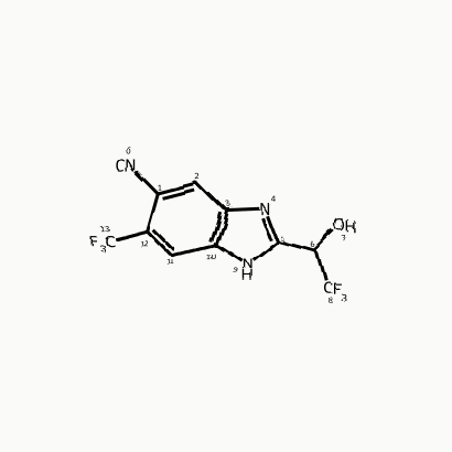 [C-]#[N+]c1cc2nc(C(O)C(F)(F)F)[nH]c2cc1C(F)(F)F